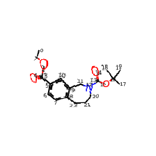 CCOC(=O)c1ccc2c(c1)CN(C(=O)OC(C)(C)C)CCC2